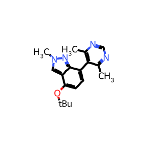 Cc1ncnc(C)c1-c1ccc(OC(C)(C)C)c2cn(C)nc12